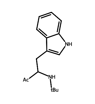 CC(=O)C(Cc1c[nH]c2ccccc12)NC(C)(C)C